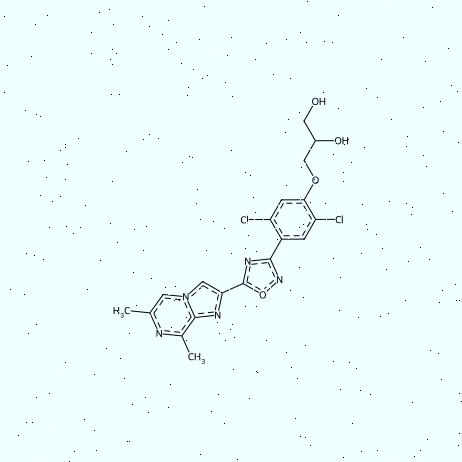 Cc1cn2cc(-c3nc(-c4cc(Cl)c(OCC(O)CO)cc4Cl)no3)nc2c(C)n1